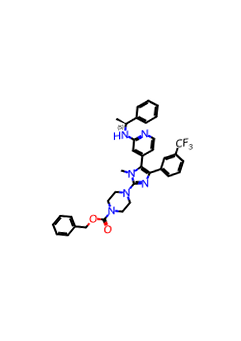 C[C@H](Nc1cc(-c2c(-c3cccc(C(F)(F)F)c3)nc(N3CCN(C(=O)OCc4ccccc4)CC3)n2C)ccn1)c1ccccc1